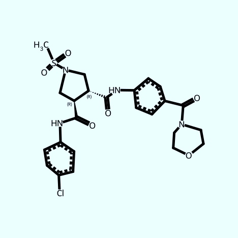 CS(=O)(=O)N1C[C@H](C(=O)Nc2ccc(Cl)cc2)[C@@H](C(=O)Nc2ccc(C(=O)N3CCOCC3)cc2)C1